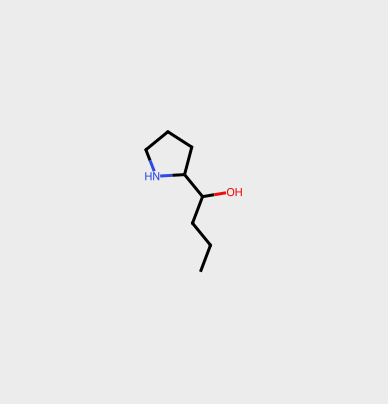 CCCC(O)C1CCCN1